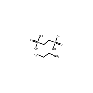 NCCN.O=P(O)(O)CCP(=O)(O)O